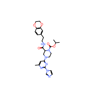 Cc1cc(N2CCN(C(=O)OC(C)C)C(C(=O)NCCc3ccc4c(c3)OCCO4)C2)nc(-n2ccnc2)n1